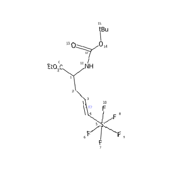 CCOC(=O)C(C/C=C/S(F)(F)(F)(F)F)NC(=O)OC(C)(C)C